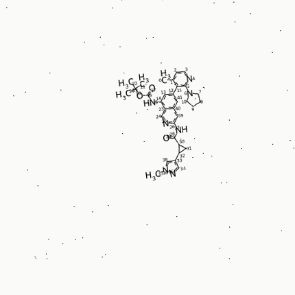 Cc1ccnc(N2CCCC2)c1-c1cc(NC(=O)OC(C)(C)C)c2cnc(NC(=O)C3CC3c3cnn(C)c3)cc2c1